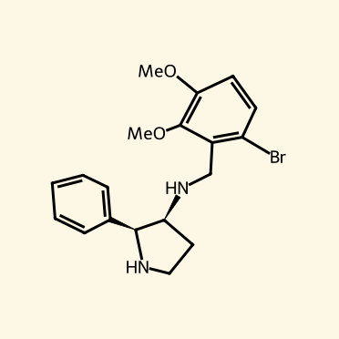 COc1ccc(Br)c(CN[C@H]2CCN[C@H]2c2ccccc2)c1OC